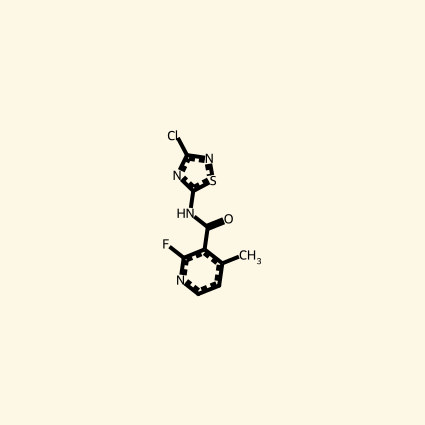 Cc1ccnc(F)c1C(=O)Nc1nc(Cl)ns1